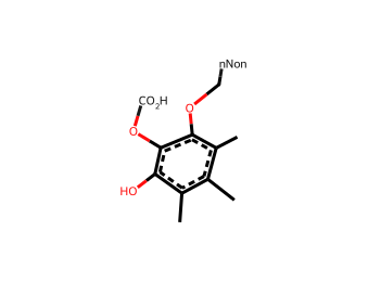 CCCCCCCCCCOc1c(C)c(C)c(C)c(O)c1OC(=O)O